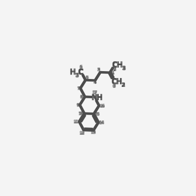 C=C(C)CCC(C)CC1Cc2ccccc2CN1